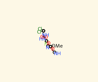 COc1cc2c(Oc3ccc(NC(=O)C(=O)NCc4cccc(Cl)c4Cl)cc3F)ccnc2cc1OCC1CCNCC1